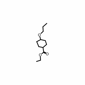 CCCOC1CCC(C(=O)OCC)CC1